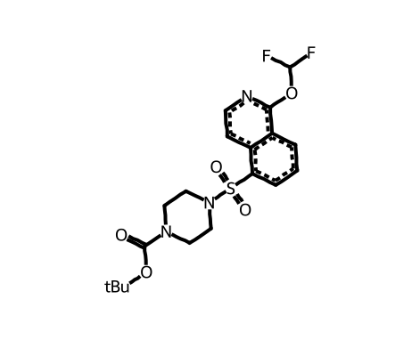 CC(C)(C)OC(=O)N1CCN(S(=O)(=O)c2cccc3c(OC(F)F)nccc23)CC1